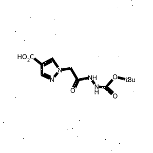 CC(C)(C)OC(=O)NNC(=O)Cn1cc(C(=O)O)cn1